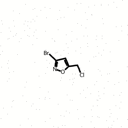 ClCc1cc(Br)no1